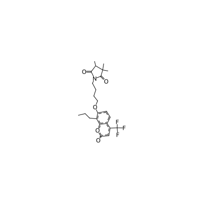 CCCc1c(OCCCCN2C(=O)C(C)C(C)(C)C2=O)ccc2c(C(F)(F)F)cc(=O)oc12